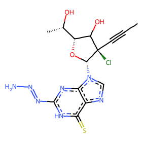 CC#C[C@@]1(Cl)C(O)[C@@H]([C@H](C)O)O[C@H]1n1cnc2c(=S)[nH]c(N=NN)nc21